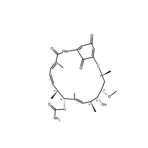 CO[C@H]1C[C@H](C)CC2=CC(=O)C=C(NC(=O)/C(C)=C/C=C\[C@H](C)[C@@H](OC(N)=O)/C(C)=C/[C@H](C)[C@H]1O)C2=O